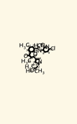 Cc1cc([C@@H](C)Nc2ccc(Cl)nc2C)c2oc(-c3cnn(CC(C)(C)O)c3)c(C)c(=O)c2c1